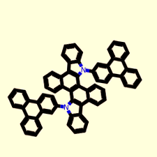 c1ccc2c(c1)c1ccccc1c1cc(-n3c4ccccc4c4c5ccccc5c5c(c6ccccc6c6c7ccccc7n(-c7ccc8c9ccccc9c9ccccc9c8c7)c65)c43)ccc21